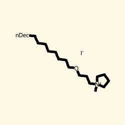 CCCCCCCCCCCCCCCCCCOCCC[N+]1(C)CCCC1.[I-]